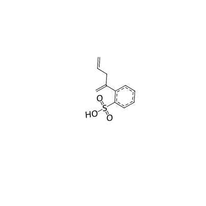 C=CCC(=C)c1ccccc1S(=O)(=O)O